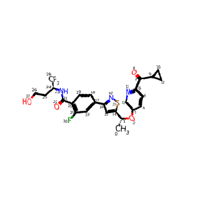 C[C@@H](Oc1ccc(C(=O)C2CC2)nc1)c1cc(-c2ccc(C(=O)N[C@@H](CCO)C(F)(F)F)c(F)c2)ns1